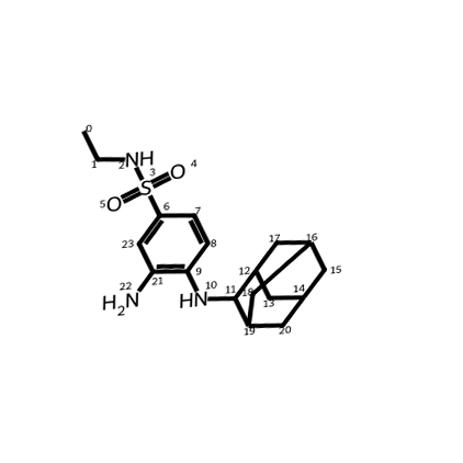 CCNS(=O)(=O)c1ccc(NC2C3CC4CC(C3)CC2C4)c(N)c1